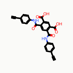 C#Cc1ccc(NC(=O)c2cc(C(=O)Nc3ccc(C#C)cc3)c(C(=O)O)cc2C(=O)O)cc1